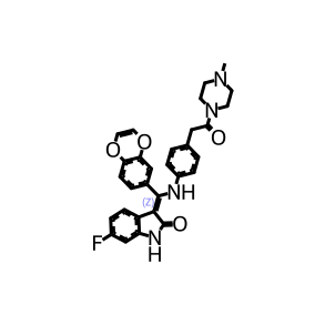 CN1CCN(C(=O)Cc2ccc(N/C(=C3\C(=O)Nc4cc(F)ccc43)c3ccc4c(c3)OC=CO4)cc2)CC1